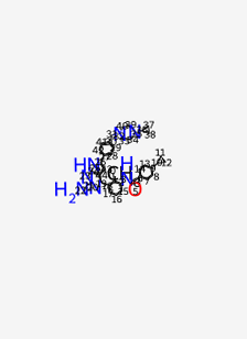 Cc1c(NC(=O)c2ccc(C3CC3)cc2)cccc1-c1nc(N)nc2[nH]c(-c3ccc(CN4CCN(C5CC5)CC4)cc3)cc12